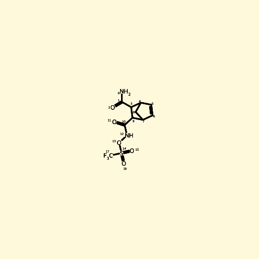 NC(=O)C1C2C=CC(C2)C1C(=O)NOS(=O)(=O)C(F)(F)F